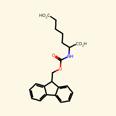 O=C(O)CCCCC(NC(=O)OCC1c2ccccc2-c2ccccc21)C(=O)O